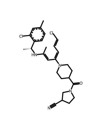 C\C(=C/C(=C\C=C\Cl)N1CCC(C(=O)N2CCC(C#N)C2)CC1)N[C@H](C)c1ccc(C)cc1Cl